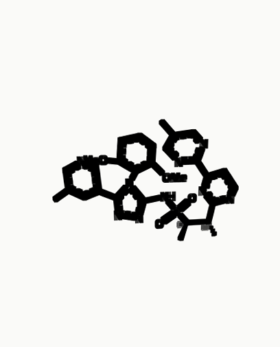 COc1cccc(OC)c1-n1c(NS(=O)(=O)[C@H](C)[C@@H](C)c2nccc(-c3ncc(C)cn3)n2)nnc1-c1cncc(C)c1